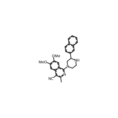 COc1cc2c(N3CCNC(c4ccc5ccccc5c4)C3)nc(C)c(C#N)c2cc1OC